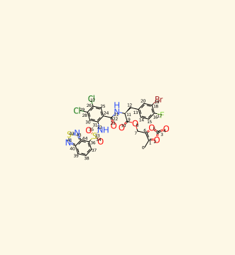 Cc1oc(=O)oc1COC(=O)[C@H](Cc1ccc(F)c(Br)c1)NC(=O)c1cc(Cl)c(Cl)cc1NS(=O)(=O)c1cccc2nsnc12